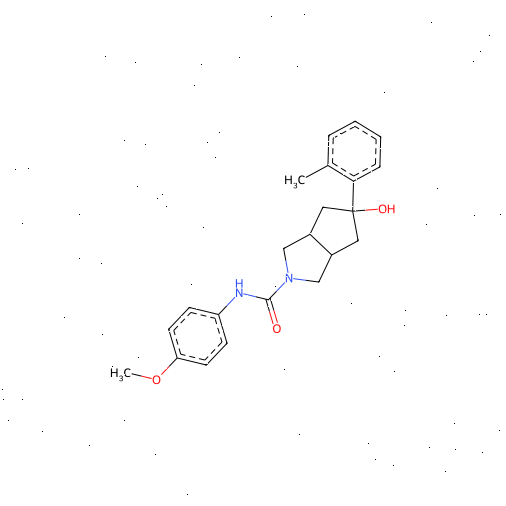 COc1ccc(NC(=O)N2CC3CC(O)(c4ccccc4C)CC3C2)cc1